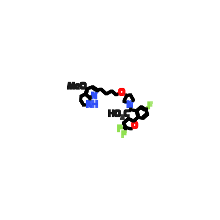 COc1cc(CCCCO[C@@H]2CCN(C(C(=O)O)c3cc(F)ccc3C3CCC(F)(F)CO3)C2)nc2c1CCCN2